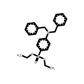 CCOP(=O)(OCC)c1ccc(N(Cc2ccccc2)Cc2ccccc2)cc1